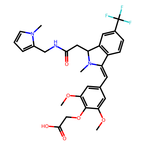 COc1cc(C=C2c3ccc(C(F)(F)F)cc3C(CC(=O)NCc3cccn3C)N2C)cc(OC)c1OCC(=O)O